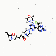 C/C=C/C(=O)N(C)CCCCC(=O)N1CCN(c2nc(-c3cnc(N)nc3C(F)F)nc(N3CCOCC3)n2)CC1